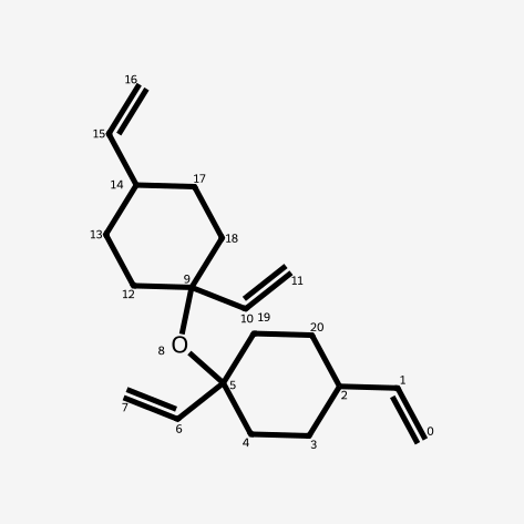 C=CC1CCC(C=C)(OC2(C=C)CCC(C=C)CC2)CC1